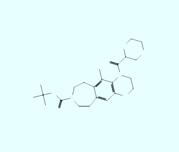 Cc1c2c(cc3c1N(C(=O)C1COCCO1)CCO3)CCN(C(=O)OC(C)(C)C)CC2